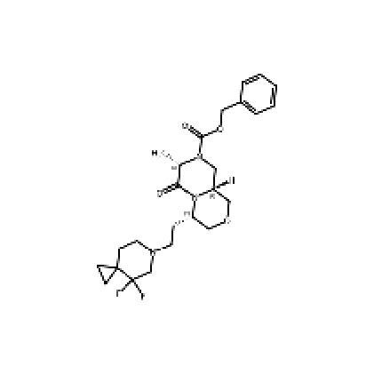 C[C@H]1C(=O)N2[C@@H](CCN3CCC4(CC4)C(F)(F)C3)COC[C@H]2CN1C(=O)OCc1ccccc1